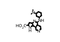 CN(C)c1cccc(Nc2nc3cc(C(=O)O)[nH]c3c3cnccc23)c1